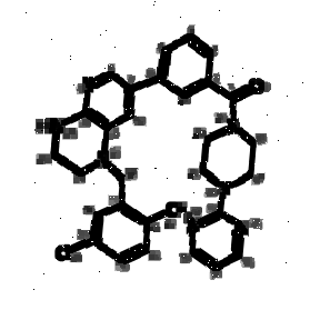 O=C(c1cccc(-c2cnc3c(c2)N(Cc2cc(Cl)ccc2C(F)(F)F)CCN3)c1)N1CCN(c2ncccn2)CC1